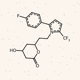 O=C1CC(O)CC(CCn2c(-c3ccc(F)cc3)ccc2C(F)(F)F)O1